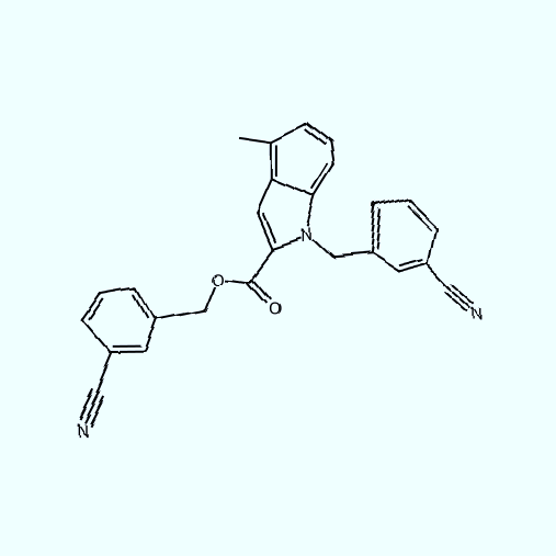 Cc1cccc2c1cc(C(=O)OCc1cccc(C#N)c1)n2Cc1cccc(C#N)c1